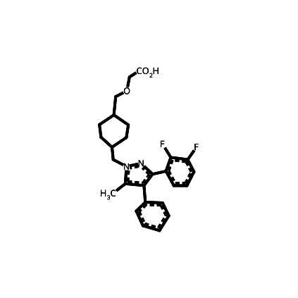 Cc1c(-c2ccccc2)c(-c2cccc(F)c2F)nn1CC1CCC(COCC(=O)O)CC1